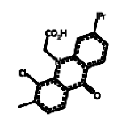 Cc1ccc2c(=O)c3ccc(C(C)C)cc3n(CC(=O)O)c2c1Cl